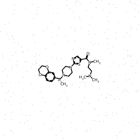 C[C@H](c1ccc2c(c1)OCCO2)N1CCN(c2ncc(C(=O)N(C)CCN(C)C)s2)CC1